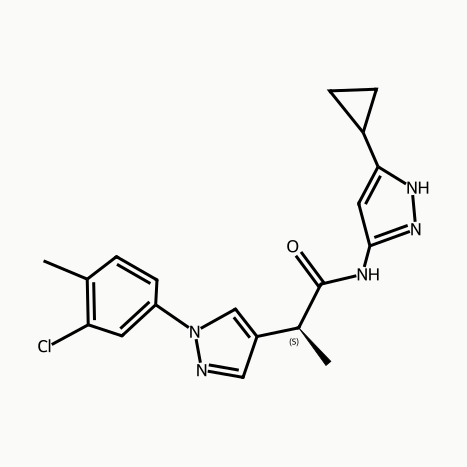 Cc1ccc(-n2cc([C@H](C)C(=O)Nc3cc(C4CC4)[nH]n3)cn2)cc1Cl